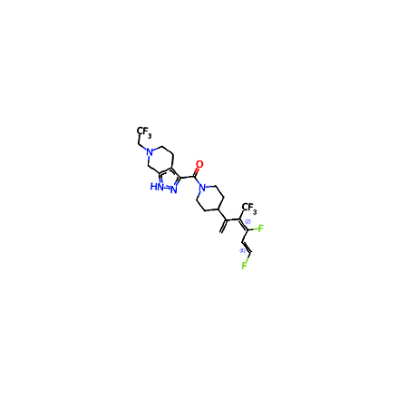 C=C(/C(=C(F)\C=C\F)C(F)(F)F)C1CCN(C(=O)c2n[nH]c3c2CCN(CC(F)(F)F)C3)CC1